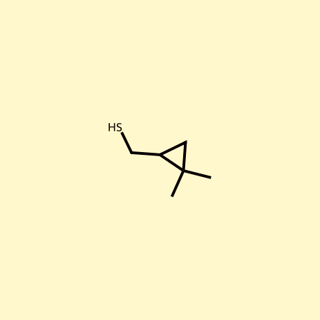 CC1(C)CC1CS